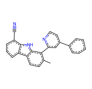 Cc1ccc2c([nH]c3c(C#N)cccc32)c1-c1cc(-c2ccccc2)ccn1